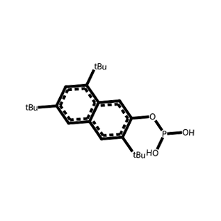 CC(C)(C)c1cc(C(C)(C)C)c2cc(OP(O)O)c(C(C)(C)C)cc2c1